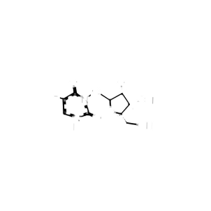 O=c1[nH]cc(F)c(=O)n1OC1O[C@H](CO)[C@@H](O)[C@H]1O